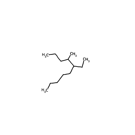 CCCCC[C](CC)C(C)CCC